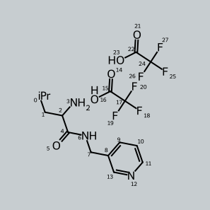 CC(C)CC(N)C(=O)NCc1cccnc1.O=C(O)C(F)(F)F.O=C(O)C(F)(F)F